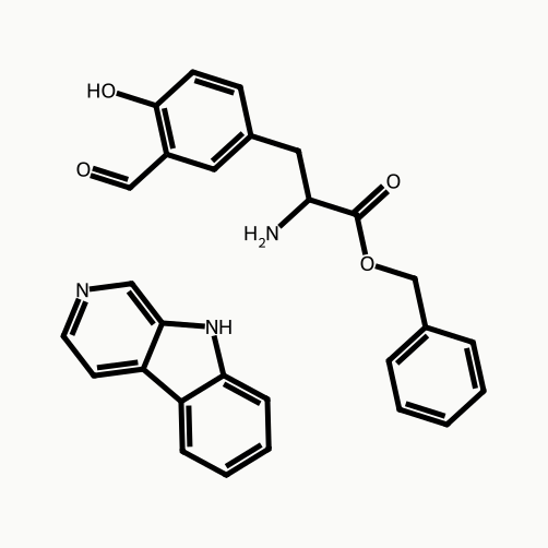 NC(Cc1ccc(O)c(C=O)c1)C(=O)OCc1ccccc1.c1ccc2c(c1)[nH]c1cnccc12